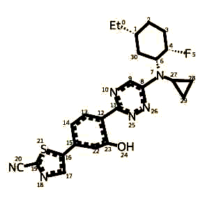 CC[C@@H]1CC[C@H](F)[C@H](N(c2cnc(-c3ccc(-c4cnc(C#N)s4)cc3O)nn2)C2CC2)C1